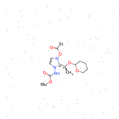 CCC(=O)ON1C=CN(NC(=O)OC(C)(C)C)[C@H]1[C@H](C)OC1CCCCO1